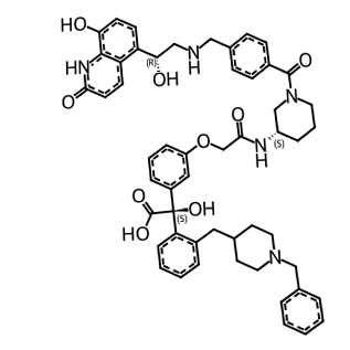 O=C(COc1cccc([C@@](O)(C(=O)O)c2ccccc2CC2CCN(Cc3ccccc3)CC2)c1)N[C@H]1CCCN(C(=O)c2ccc(CNC[C@H](O)c3ccc(O)c4[nH]c(=O)ccc34)cc2)C1